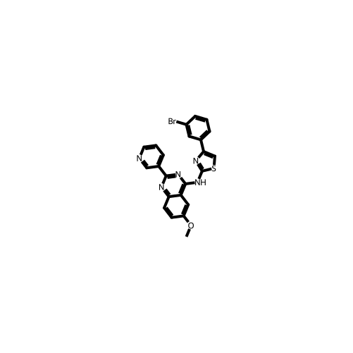 COc1ccc2nc(-c3cccnc3)nc(Nc3nc(-c4cccc(Br)c4)cs3)c2c1